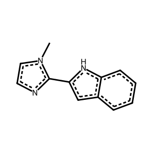 Cn1ccnc1-c1cc2ccccc2[nH]1